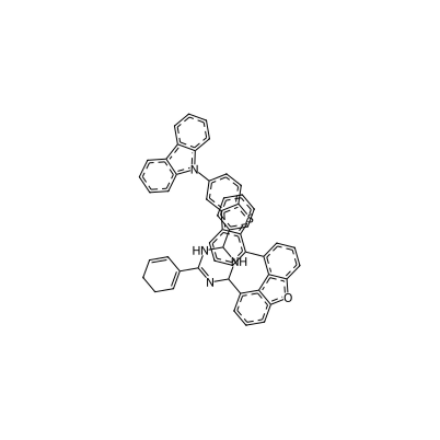 C1=CC(C2=NC(c3cccc4oc5cccc(-c6cccc7c6sc6ccc(-n8c9ccccc9c9ccccc98)cc67)c5c34)NC(c3ccccc3)N2)=CCC1